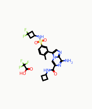 Cc1ccc(S(=O)(=O)NC2CC(F)(F)C2)cc1-c1cnc2c(N)nc(C(=O)NC3CCC3)cn12.O=C(O)C(F)(F)F